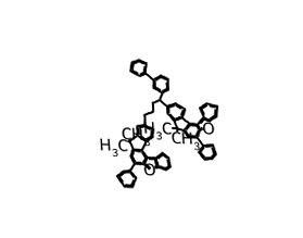 CC1(C)c2cc(CCCC(c3cccc(-c4ccccc4)c3)c3ccc4c(c3)C(C)(C)c3cc(-c5ccccc5)c5oc6ccccc6c5c3-4)ccc2-c2c1cc(-c1ccccc1)c1oc3ccccc3c21